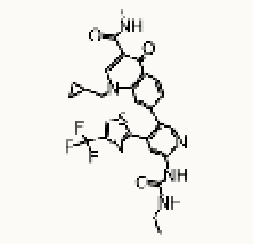 CCNC(=O)Nc1cc(-c2nc(C(F)(F)F)cs2)c(-c2ccc3c(=O)c(C(=O)NC)cn(CC4CC4)c3c2)cn1